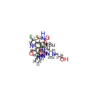 CC(C)(C)OC(=O)Nc1sc2c(F)cnc(-c3c4c(c5c(N6C7CCC6CN(C(=O)OC(C)(C)C)C7)nc(N6CCN(CCCO)CC6)nc5c3F)COC4)c2c1C#N